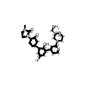 Cn1ccn(-c2ccc(-c3cc(F)cc(-c4ccnc(N5CCN[C@H](CN)C5)c4)c3O)cc2Cl)c1=O